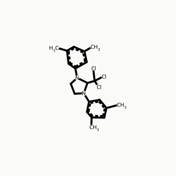 Cc1cc(C)cc(N2CCN(c3cc(C)cc(C)c3)C2C(Cl)(Cl)Cl)c1